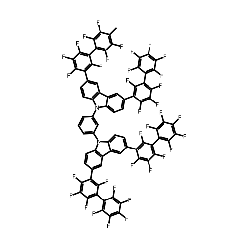 Cc1c(F)c(F)c(-c2c(F)c(F)c(F)c(-c3ccc4c(c3)c3cc(-c5c(F)c(F)c(F)c(-c6c(F)c(F)c(F)c(F)c6F)c5F)ccc3n4-c3cccc(-n4c5ccc(-c6c(F)c(F)c(F)c(-c7c(F)c(F)c(F)c(F)c7F)c6F)cc5c5cc(-c6c(F)c(F)c(F)c(-c7c(F)c(F)c(F)c(F)c7F)c6F)ccc54)c3)c2F)c(F)c1F